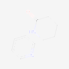 O=C1CCCCN1.c1ccncc1